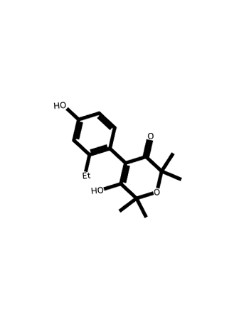 CCc1cc(O)ccc1C1=C(O)C(C)(C)OC(C)(C)C1=O